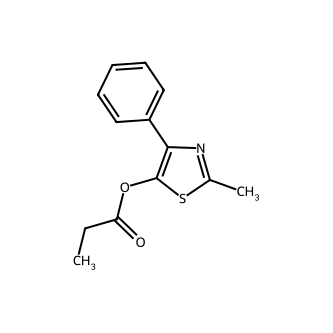 CCC(=O)Oc1sc(C)nc1-c1ccccc1